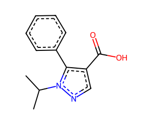 CC(C)n1ncc(C(=O)O)c1-c1ccccc1